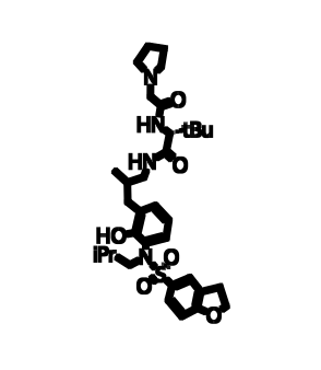 CC(C)CN(c1cccc(CC(C)CNC(=O)[C@H](NC(=O)CN2CCCC2)C(C)(C)C)c1O)S(=O)(=O)c1ccc2c(c1)CCO2